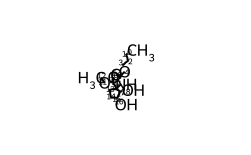 CCCCOC(=O)NC1(C(=O)OC)CCC(O)C1O